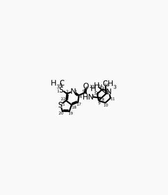 CSc1nc(C(=O)N[C@@H]2C3CCN(CC3)[C@H]2C)cc2ccsc12